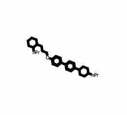 CCCC1CCC(c2ccc(-c3ccc(OCCCC4CCCCC4CCC)cc3)cc2)CC1